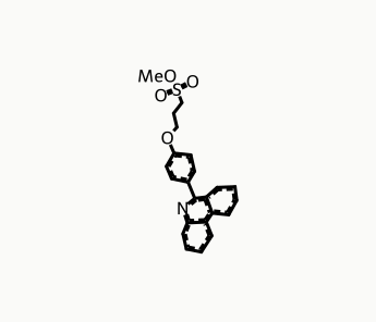 COS(=O)(=O)CCCOc1ccc(-c2nc3ccccc3c3ccccc23)cc1